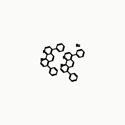 [Ru].c1ccc(-c2ccnc3c2ccc2c(-c4ccccc4)ccnc23)cc1.c1ccc(-c2ccnc3c2ccc2c(-c4ccccc4)ccnc23)cc1